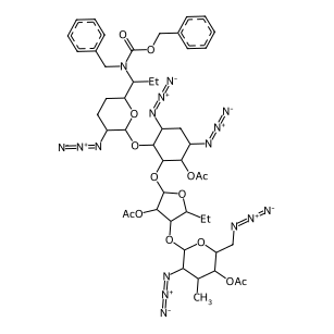 CCC1OC(OC2C(OC(C)=O)C(N=[N+]=[N-])CC(N=[N+]=[N-])C2OC2OC(C(CC)N(Cc3ccccc3)C(=O)OCc3ccccc3)CCC2N=[N+]=[N-])C(OC(C)=O)C1OC1OC(CN=[N+]=[N-])C(OC(C)=O)C(C)C1N=[N+]=[N-]